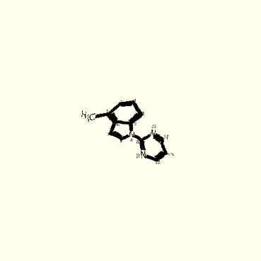 Cc1cccc2c1ccn2-c1ncccn1